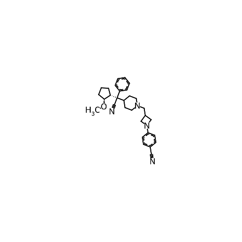 CO[C@H]1CCC[C@@H]1C(C#N)(c1ccccc1)C1CCN(CC2CN(c3ccc(C#N)cc3)C2)CC1